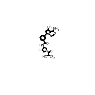 Nc1ncnn2c(-c3cccc(C(=O)N[C@@H]4CN(C(=O)C(O)C(F)(F)F)C[C@@H]4F)c3)cc(C(F)(F)F)c12